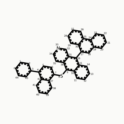 c1ccc(-c2ccc(Sc3c4ccccc4c(-c4cc5ccccc5c5ccccc45)c4cnccc34)c3ccccc23)cc1